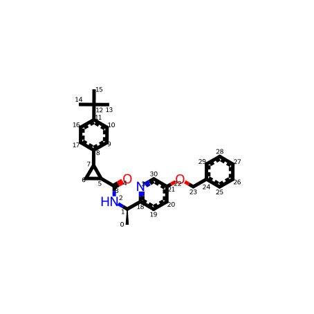 C[C@@H](NC(=O)C1CC1c1ccc(C(C)(C)C)cc1)c1ccc(OCc2ccccc2)cn1